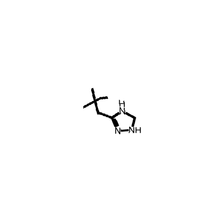 CC(C)(C)CC1=NNCN1